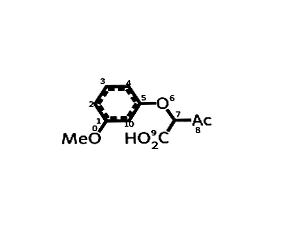 COc1cccc(OC(C(C)=O)C(=O)O)c1